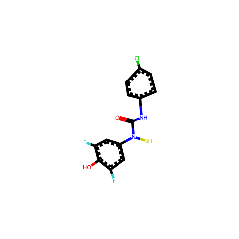 O=C(Nc1ccc(Cl)cc1)N(S)c1cc(F)c(O)c(F)c1